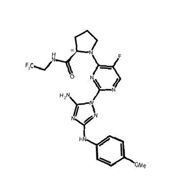 COc1ccc(Nc2nc(N)n(-c3ncc(F)c(N4CCC[C@@H]4C(=O)NCC(F)(F)F)n3)n2)cc1